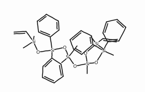 C=C[Si](C)(C)O[Si](C)(O[Si](C)(C)O[Si](O[Si](C)(C)C=C)(c1ccccc1)c1ccccc1)O[Si](C)(c1ccccc1)c1ccccc1